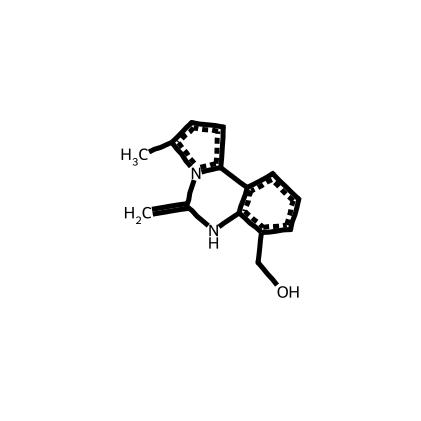 C=C1Nc2c(CO)cccc2-c2ccc(C)n21